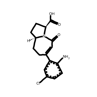 Nc1ccc(Cl)cc1C1=CC(=O)N2[C@@H](CC1)CC[C@H]2C(=O)O